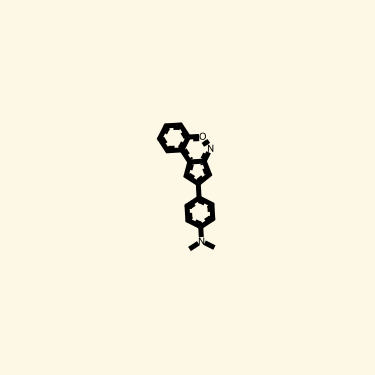 CN(C)c1ccc(-c2cc3noc4ccccc4c-3c2)cc1